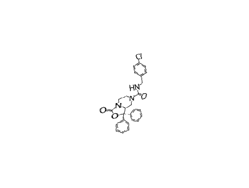 O=C(NCc1ccc(Cl)cc1)N1CCN2C(=O)OC(c3ccccc3)(c3ccccc3)C2C1